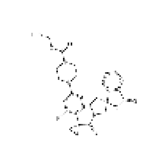 CCOC(=O)N1CCN(c2ccc(C3(C(=O)N4CC[C@@]5(C4)OC(=O)c4ccccc45)CC3)c(F)c2)CC1